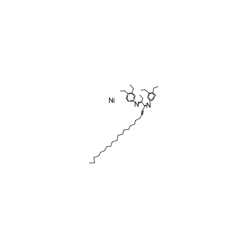 CCCCCCCCCCCCCCCCCCC#CC(=Nc1ccc(CC)c(CC)c1)C(CC)=Nc1ccc(CC)c(CC)c1.[Ni]